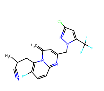 C=C1C=C(Cn2nc(Cl)cc2C(F)(F)F)N=C2C=CC(F)=C(CC(C)C#N)N12